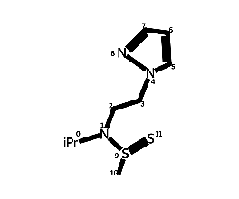 CC(C)N(CCn1cccn1)S(C)=S